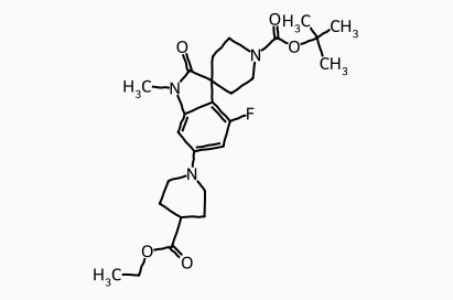 CCOC(=O)C1CCN(c2cc(F)c3c(c2)N(C)C(=O)C32CCN(C(=O)OC(C)(C)C)CC2)CC1